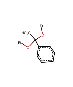 CCOC(OCC)(C(=O)O)c1ccccc1